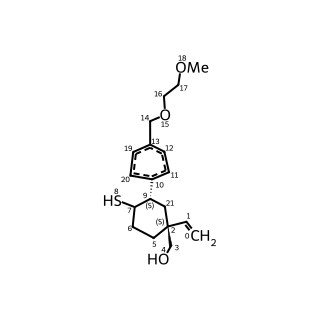 C=C[C@]1(CO)CCC(S)[C@H](c2ccc(COCCOC)cc2)C1